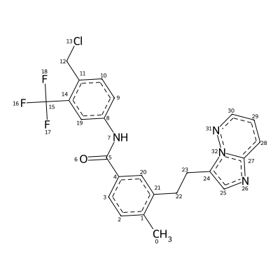 Cc1ccc(C(=O)Nc2ccc(CCl)c(C(F)(F)F)c2)cc1CCc1cnc2cccnn12